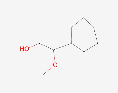 COC(CO)C1CCCCC1